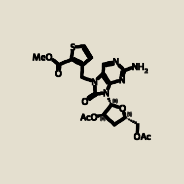 COC(=O)c1sccc1Cn1c(=O)n([C@@H]2O[C@H](COC(C)=O)C[C@H]2OC(C)=O)c2nc(N)ncc21